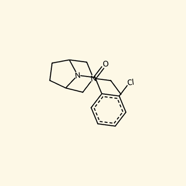 CCN1CC2CCC(C1)N2C(=O)c1ccccc1Cl